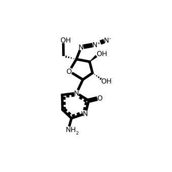 [N-]=[N+]=N[C@]1(CO)OC(n2ccc(N)nc2=O)[C@@H](O)[C@@H]1O